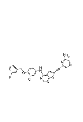 Nc1cncc(C#Cc2cc3c(Nc4ccc(OCc5cccc(F)c5)c(Cl)c4)ncnc3s2)n1